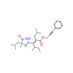 CCC(C)/C(C1=NC(C)(CC(C)C)C(=O)N1)=C(/CC(C)C)C(=O)OCC#Cc1ccccc1